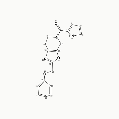 O=C(c1ccc[nH]1)N1CCc2nc(COc3ccccc3)oc2C1